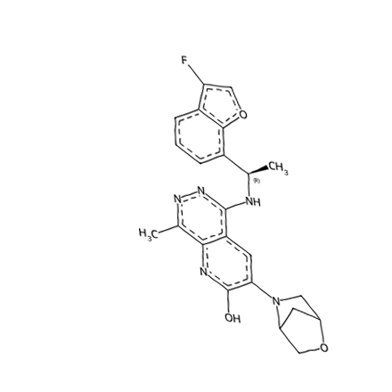 Cc1nnc(N[C@H](C)c2cccc3c(F)coc23)c2cc(N3CC4CC3CO4)c(O)nc12